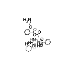 NCCOc1ccccc1C(=O)OC(=O)C[C@@H](NC1=N[C@@H]2CCCC[C@@H]2N1)NS(=O)(=O)c1ccccc1